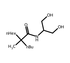 CCCCCCC(C)(CCCC)C(=O)NC(CO)CO